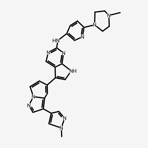 CN1CCN(c2ccc(Nc3ncc4c(-c5ccn6ncc(-c7cnn(C)c7)c6c5)c[nH]c4n3)cn2)CC1